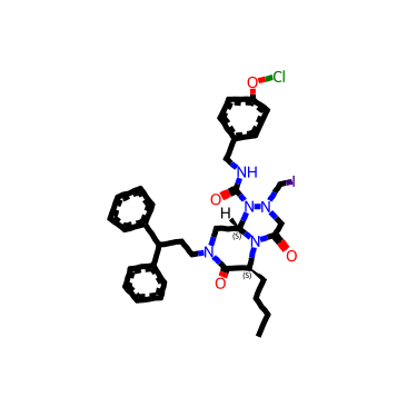 CCCC[C@H]1C(=O)N(CCC(c2ccccc2)c2ccccc2)C[C@H]2N1C(=O)CN(CI)N2C(=O)NCc1ccc(OCl)cc1